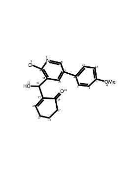 COc1ccc(-c2cnc(Cl)c(C(O)C3=CCCCC3=O)c2)cc1